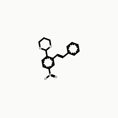 O=[N+]([O-])c1ccc(C2OCCCO2)c(/C=C/c2ccccc2)c1